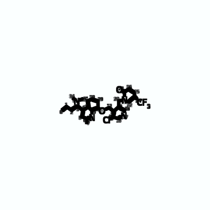 C=C/C=C(/c1cc(C)nc2c(OCc3c(Cl)cncc3Cn3cc(C(F)(F)F)ccc3=O)cccc12)N(C)C